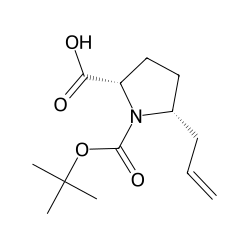 C=CC[C@H]1CC[C@@H](C(=O)O)N1C(=O)OC(C)(C)C